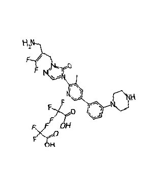 Cc1cc(-c2cccc(N3CCNCC3)c2)cnc1-n1cnn(CC(CN)=C(F)F)c1=O.O=C(O)C(F)(F)F.O=C(O)C(F)(F)F